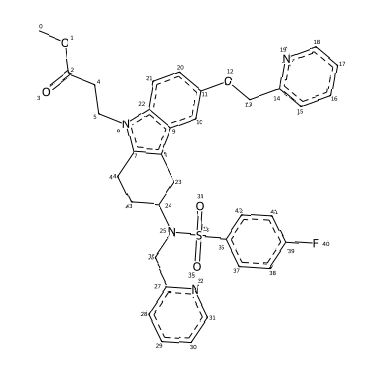 COC(=O)CCn1c2c(c3cc(OCc4ccccn4)ccc31)CC(N(Cc1ccccn1)S(=O)(=O)c1ccc(F)cc1)CC2